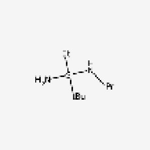 CC[Si](N)(NC(C)C)C(C)(C)C